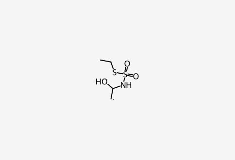 [CH2]C(O)NS(=O)(=O)SCC